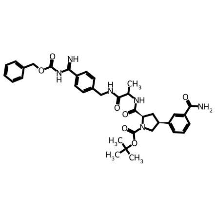 CC(NC(=O)[C@H]1C[C@@H](c2cccc(C(N)=O)c2)CN1C(=O)OC(C)(C)C)C(=O)NCc1ccc(C(=N)NC(=O)OCc2ccccc2)cc1